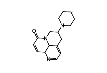 O=C1C=CC2N=CC=C3CC(N4CC[CH]CC4)CN1C32